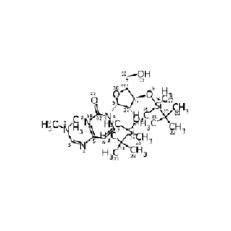 CN(C)/C=N\c1ccn([C@@H]2O[C@H](CO)[C@@H](O[Si](C)(C)C(C)(C)C)[C@@H]2O[Si](C)(C)C(C)(C)C)c(=O)n1